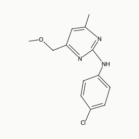 COCc1cc(C)nc(Nc2ccc(Cl)cc2)n1